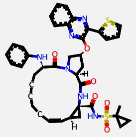 CC1(S(=O)(=O)NC(=O)[C@@]23C[C@H]2/C=C\CCCCC[C@H](Nc2ccccc2)C(=O)N2C[C@H](Oc4nc5ccccc5nc4-c4cccs4)C[C@H]2C(=O)N3)CC1